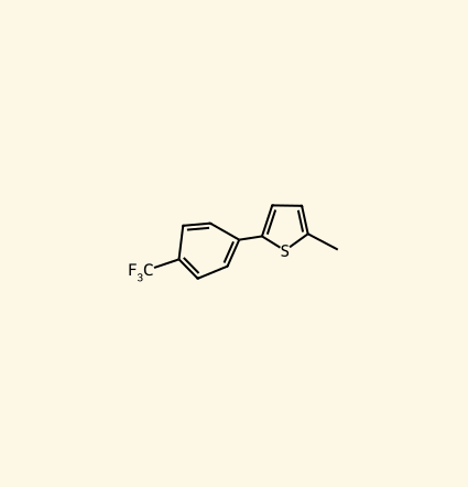 Cc1ccc(-c2ccc(C(F)(F)F)cc2)s1